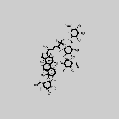 CC[C@@]12CC[C@H]([C@H](C)CC[C@@H](O[C@@H]3O[C@H](CO[C@@H]4O[C@H](CO)[C@@H](O)[C@H](O)[C@H]4O)[C@@H](O)[C@H](O)[C@H]3O[C@@H]3O[C@H](CO)[C@@H](C)[C@H](O)[C@H]3O)C(C)(C)O)[C@@]1(C)C[C@@H](O)[C@@]1(C)[C@@H]3CC[C@H](O[C@@H]4O[C@H](CO)[C@@H](O)[C@H](O)[C@H]4O)C(C)(C)C3=CC[C@H]12